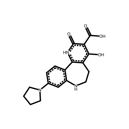 O=C(O)c1c(O)c2c([nH]c1=O)-c1ccc(N3CCCC3)cc1NCC2